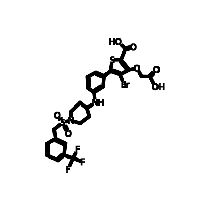 O=C(O)COc1c(C(=O)O)sc(-c2cccc(NC3CCN(S(=O)(=O)Cc4cccc(C(F)(F)F)c4)CC3)c2)c1Br